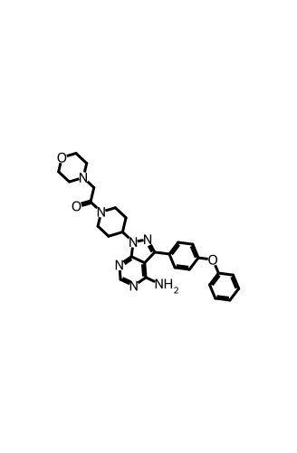 Nc1ncnc2c1c(-c1ccc(Oc3ccccc3)cc1)nn2C1CCN(C(=O)CN2CCOCC2)CC1